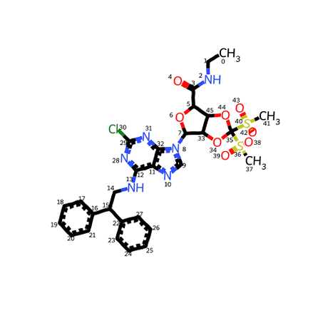 CCNC(=O)C1OC(n2cnc3c(NCC(c4ccccc4)c4ccccc4)nc(Cl)nc32)C2OC(S(C)(=O)=O)(S(C)(=O)=O)OC12